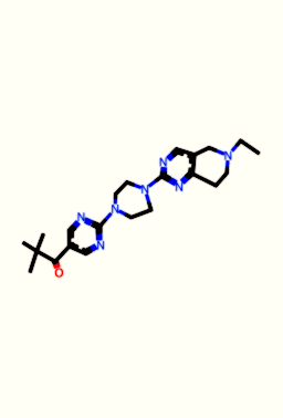 CCN1CCc2nc(N3CCN(c4ncc(C(=O)C(C)(C)C)cn4)CC3)ncc2C1